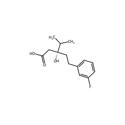 CC(C)[C@@](O)(CCc1cccc(F)c1)CC(=O)O